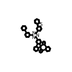 c1ccc(-c2cccc(-c3nc(-c4ccc5c(c4)-c4ccccc4C54c5ccccc5-c5ccccc5-c5ccccc54)nc(-c4ccc5sc6ccccc6c5c4)n3)c2)cc1